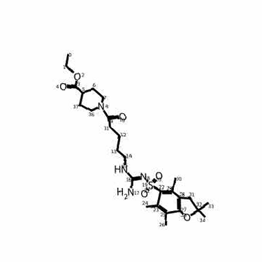 CCOC(=O)C1CCN(C(=O)CCCCN/C(N)=N/S(=O)(=O)c2c(C)c(C)c3c(c2C)CC(C)(C)O3)CC1